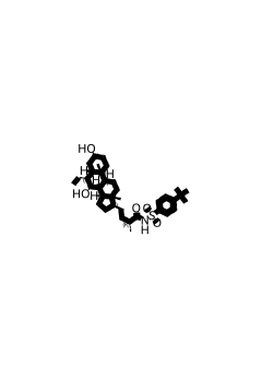 CC[C@H]1[C@@H](O)[C@@H]2[C@H](CC[C@]3(C)[C@@H](CC[C@@H](C)C(=O)NS(=O)(=O)c4ccc(C(C)(C)C)cc4)CC[C@@H]23)[C@@]2(C)CC[C@@H](O)C[C@@H]12